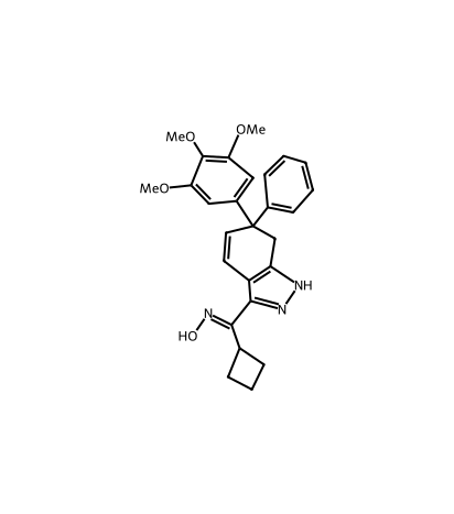 COc1cc(C2(c3ccccc3)C=Cc3c(C(=NO)C4CCC4)n[nH]c3C2)cc(OC)c1OC